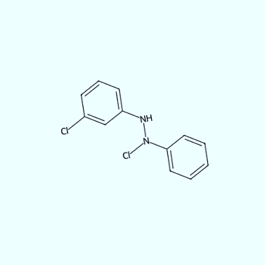 Clc1cccc(NN(Cl)c2ccccc2)c1